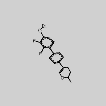 CCOc1ccc(-c2ccc(C3=COC(C)CC3)cc2)c(F)c1F